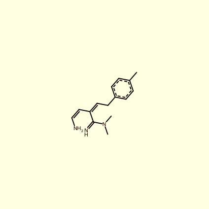 Cc1ccc(C/C=C(/C=C\N)C(=N)N(C)C)cc1